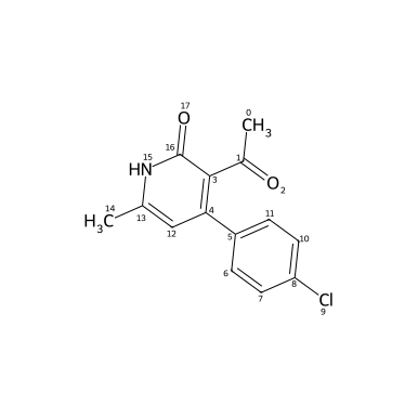 CC(=O)c1c(-c2ccc(Cl)cc2)cc(C)[nH]c1=O